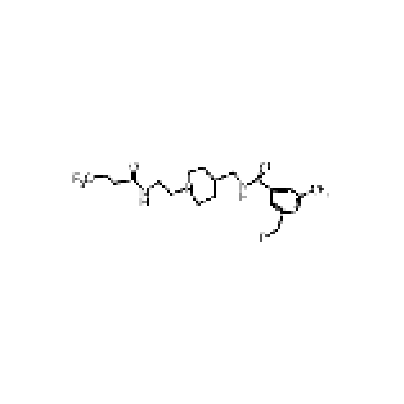 O=C(CCC(F)(F)F)NCCN1CCC(CNC(=O)c2cc(CF)cc(C(F)(F)F)c2)CC1